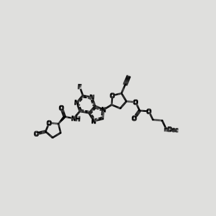 C#CC1OC(n2cnc3c(NC(=O)[C@H]4CCC(=O)O4)nc(F)nc32)CC1OC(=O)OCCCCCCCCCCCC